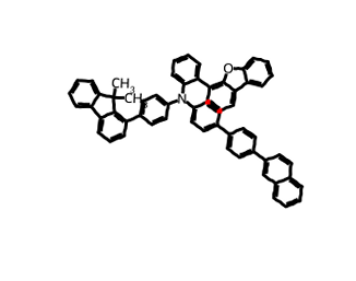 CC1(C)c2ccccc2-c2cccc(-c3ccc(N(c4ccc(-c5ccc(-c6ccc7ccccc7c6)cc5)cc4)c4ccccc4-c4cccc5c4oc4ccccc45)cc3)c21